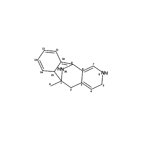 CC12CC3=CCNC=C3C(=C3C=CC=CC31)N2